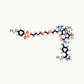 Cc1ccc(S(=O)(=O)OCCCCCOCCOCCCN[C@H](C(=O)N2C[C@H](O)C[C@H]2C(=O)NCc2ccc(-c3scnc3C)cc2)C(C)(C)C)cc1